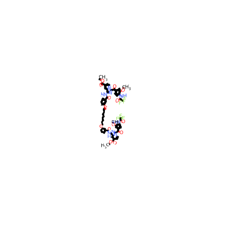 CCOC(=O)c1ccn2c(C(=O)c3ccc(NC(=O)C(F)(F)F)c(OC)c3)nc(NC(=O)c3cccc(OCCCCCCCCOc4cccc(C(=O)Nc5nc(C(=O)c6ccc(NC(=O)C(F)(F)F)c(OC)c6)n6ccc(C(=O)OCC)cc56)c4)c3)c2c1